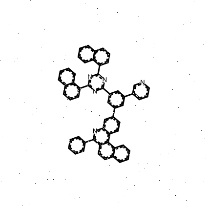 c1ccc(-c2nc3cc(-c4cc(-c5cccnc5)cc(-c5nc(-c6cccc7ccccc67)nc(-c6cccc7ccccc67)n5)c4)ccc3c3c2ccc2ccccc23)cc1